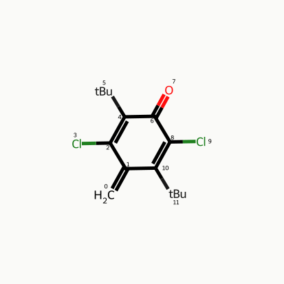 C=C1C(Cl)=C(C(C)(C)C)C(=O)C(Cl)=C1C(C)(C)C